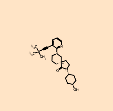 C[Si](C)(C)C#Cc1cccnc1N1CCC[C@@]2(CCN([C@H]3CC[C@H](O)CC3)C2=O)C1